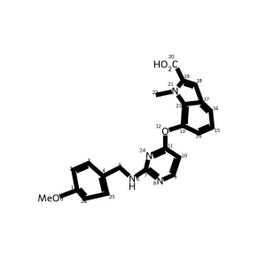 COc1ccc(CNc2nccc(Oc3cccc4cc(C(=O)O)n(C)c34)n2)cc1